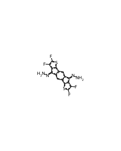 N/N=c1/c2cc3c(cc2c2sc(F)c(F)c12)/c(=N/N)c1c(F)c(F)sc13